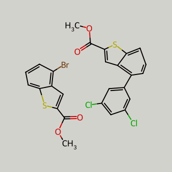 COC(=O)c1cc2c(-c3cc(Cl)cc(Cl)c3)cccc2s1.COC(=O)c1cc2c(Br)cccc2s1